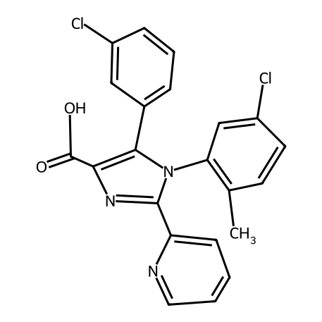 Cc1ccc(Cl)cc1-n1c(-c2ccccn2)nc(C(=O)O)c1-c1cccc(Cl)c1